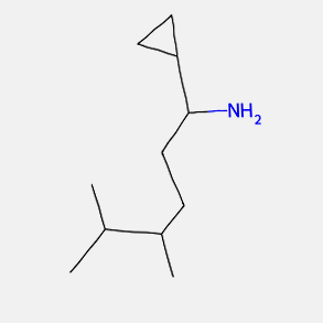 CC(C)C(C)CCC(N)C1CC1